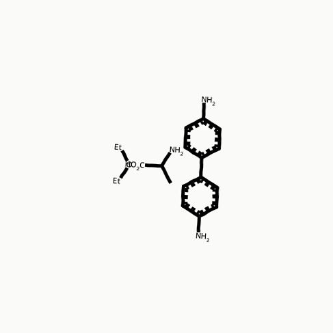 CC(N)C(=O)O.CCOCC.Nc1ccc(-c2ccc(N)cc2)cc1